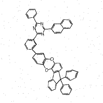 c1ccc(-c2nc(-c3cccc(-c4ccc5c(c4)Oc4ccc6c(c4O5)-c4ccccc4C6(c4ccccc4)c4ccccc4)c3)nc(-c3ccc4ccccc4c3)n2)cc1